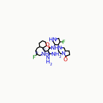 NC(N)C(C(=O)NC1CNCC(F)C1N1CCN2C(=O)CCC2C1)/C1=C2\CCCCC2C/C=C(/F)CN1